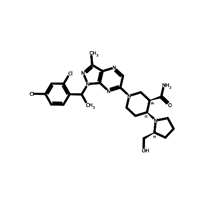 Cc1nn(C(C)c2ccc(Cl)cc2Cl)c2nc(N3CC[C@H](N4CCC[C@H]4CO)[C@H](C(N)=O)C3)cnc12